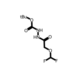 CC(C)(C)OC(=O)NNC(=O)COC(F)F